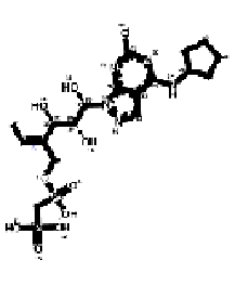 C/C=C(/COP(=O)(O)CP(=O)(O)O)[C@@H](O)[C@@H](O)[C@@H](O)n1ncc2c(NC3CCCC3)nc(Cl)nc21